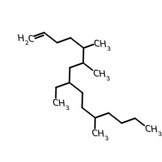 C=CCCC(C)C(C)CC(CC)CCC(C)CCCC